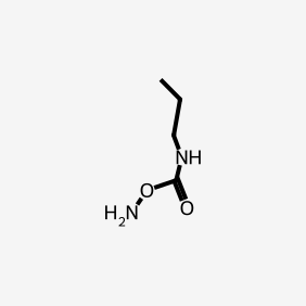 CCCNC(=O)ON